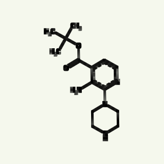 CC(C)(C)OC(=O)c1ccnc(N2CCNCC2)c1N